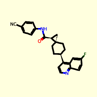 N#Cc1ccc(NC(=O)[C@H]2C[C@]23CC[C@H](c2ccnc4ccc(F)cc42)CC3)cc1